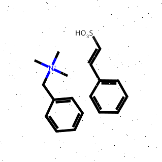 C[N+](C)(C)Cc1ccccc1.O=S(=O)(O)C=Cc1ccccc1